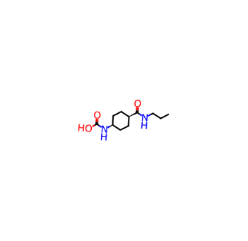 CCCNC(=O)[C@H]1CC[C@@H](NC(=O)O)CC1